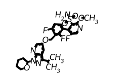 COc1ncc(F)c(-c2ccc(F)c(COc3cnc4c(c3)c(C(C)C)nn4C3CCCCO3)c2F)c1S(N)(=O)=O